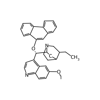 CCC1CN2CCC1CC2[C@@H](Oc1cc2ccccc2c2ccccc12)c1ccnc2ccc(OI)cc12